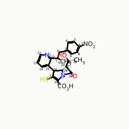 CC(Cc1ccc([N+](=O)[O-])cc1)c1ncccc1C1C(S)=C(C(=O)O)N2C(=O)[C@@H]([C@@H](C)O)C12